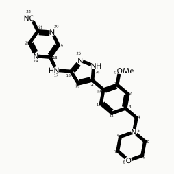 COc1cc(CN2CCOCC2)ccc1-c1cc(Nc2cnc(C#N)cn2)n[nH]1